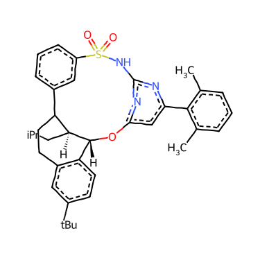 Cc1cccc(C)c1-c1cc2nc(n1)NS(=O)(=O)c1cccc(c1)C1CCc3cc(C(C)(C)C)ccc3[C@@H](O2)[C@H]1CC(C)C